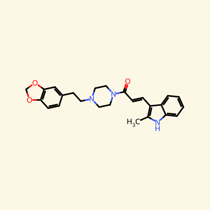 Cc1[nH]c2ccccc2c1C=CC(=O)N1CCN(CCc2ccc3c(c2)OCO3)CC1